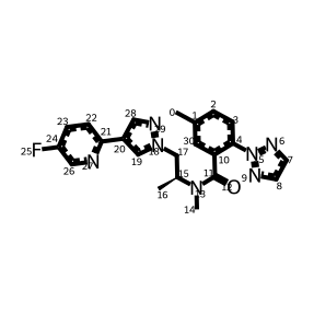 Cc1ccc(-n2nccn2)c(C(=O)N(C)[C@@H](C)Cn2cc(-c3ccc(F)cn3)cn2)c1